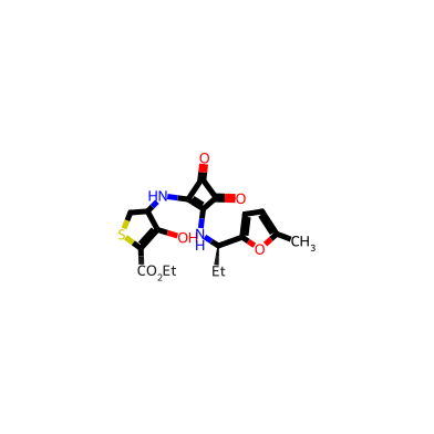 CCOC(=O)C1=C(O)C(Nc2c(N[C@H](CC)c3ccc(C)o3)c(=O)c2=O)CS1